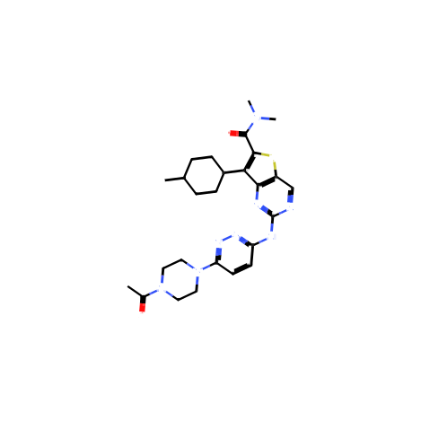 CC(=O)N1CCN(c2ccc(Nc3ncc4sc(C(=O)N(C)C)c(C5CCC(C)CC5)c4n3)nn2)CC1